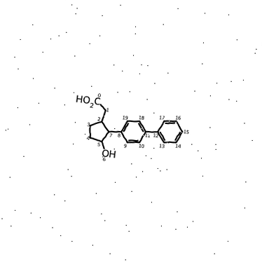 O=C(O)CC1CCC(O)C1c1ccc(-c2ccccc2)cc1